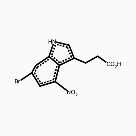 O=C(O)CCc1c[nH]c2cc(Br)cc([N+](=O)[O-])c12